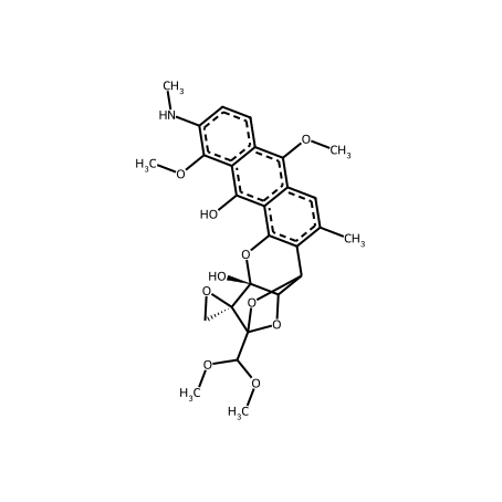 CNc1ccc2c(OC)c3cc(C)c4c(c3c(O)c2c1OC)O[C@]1(O)C2OC(C(OC)OC)(OC42)[C@]12CO2